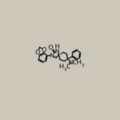 CN(C)[C@]1(c2ccccc2)CC[C@@]2(CC1)CN(c1cccc3c1OCO3)C(=O)N2